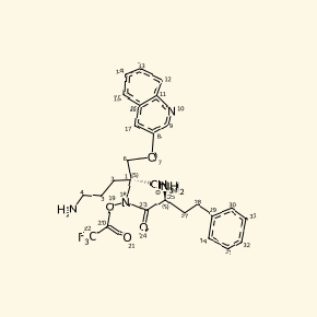 C[C@](CCCN)(COc1cnc2ccccc2c1)N(OC(=O)C(F)(F)F)C(=O)[C@@H](N)CCc1ccccc1